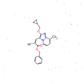 Cc1cccn2c(/C=C(/C#N)C(=O)OCc3ccccc3)c(OCC3CC3)nc12